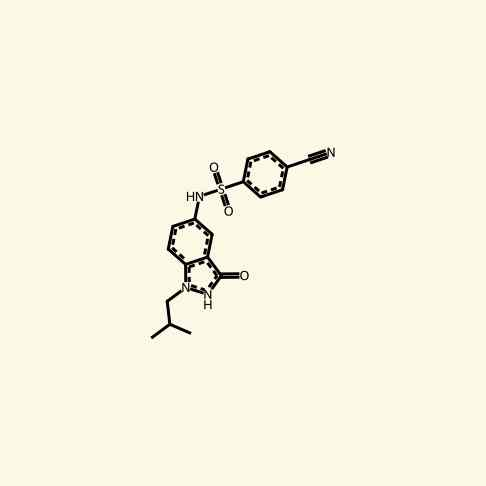 CC(C)Cn1[nH]c(=O)c2cc(NS(=O)(=O)c3ccc(C#N)cc3)ccc21